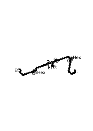 CC/C=C\C/C=C\C/C=C\CCCCCCCC(=O)OC(C/C=C\CCCCCCCCOC(=O)CCN(CCC(=O)OCCCCCCCC/C=C\CC(CCCCCC)OC(=O)CCCCCCC/C=C\C/C=C\C/C=C\CC)CCN(CC)CC)CCCCCC